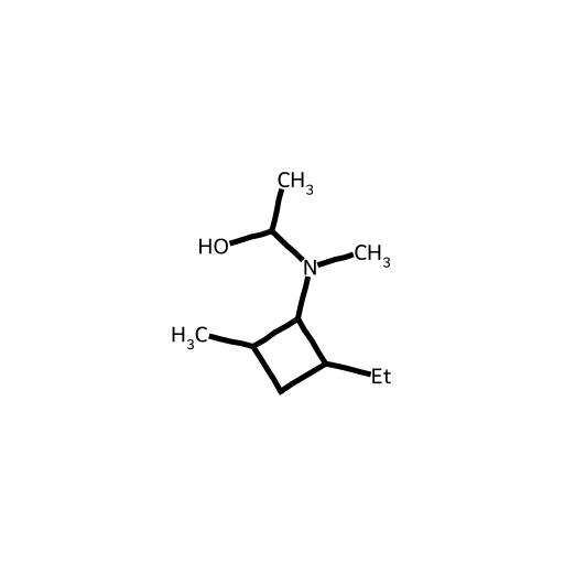 CCC1CC(C)C1N(C)C(C)O